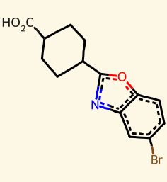 O=C(O)C1CCC(c2nc3cc(Br)ccc3o2)CC1